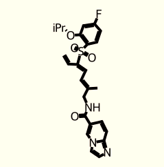 C=C/C(=C\C=C(/C)CNC(=O)c1ccc2nccn2c1)S(=O)(=O)c1ccc(F)cc1OC(C)C